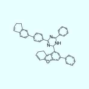 C1=Cc2ccc(-c3ccc(C4=NC(c5cc(-c6ccccc6)cc6oc7c(c56)CCC=C7)NC(c5ccccc5)=N4)cc3)cc2CC1